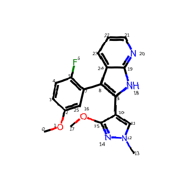 COc1ccc(F)c(-c2c(-c3cn(C)nc3OC)[nH]c3ncccc23)c1